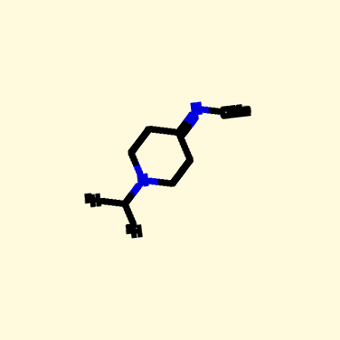 [2H]C([2H])N1CCC(=NOC)CC1